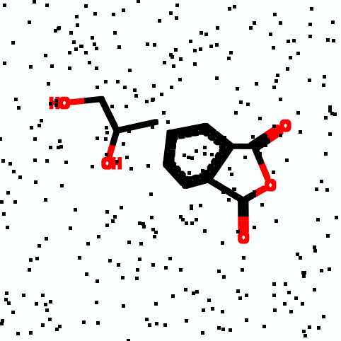 CC(O)CO.O=C1OC(=O)c2ccccc21